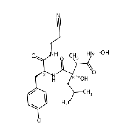 CC(C)C[C@@](O)(C(=O)N[C@@H](Cc1ccc(Cl)cc1)C(=O)NCCC#N)C(C)C(=O)NO